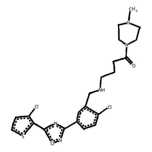 CN1CCN(C(=O)CCCNCc2cc(-c3noc(-c4sccc4Cl)n3)ccc2Cl)CC1